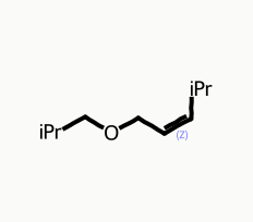 CC(C)/C=C\COCC(C)C